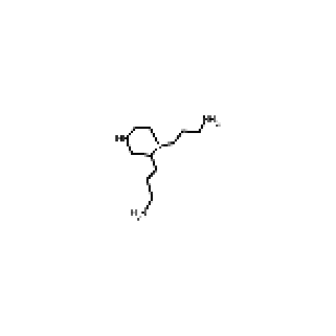 NCCCC1CNCCN1CCCN